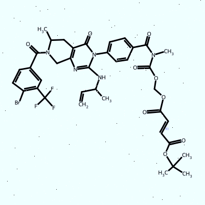 C=CC(C)Nc1nc2c(c(=O)n1-c1ccc(C(=O)N(C)C(=O)OCOC(=O)/C=C/C(=O)OC(C)(C)C)cc1)CC(C)N(C(=O)c1ccc(Br)c(C(F)(F)F)c1)C2